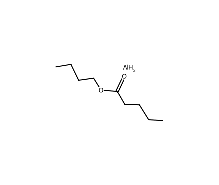 CCCCOC(=O)CCCC.[AlH3]